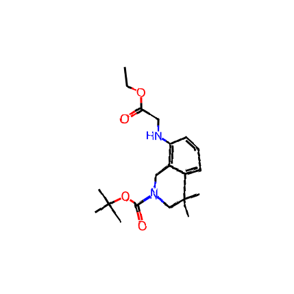 CCOC(=O)CNc1cccc2c1CN(C(=O)OC(C)(C)C)CC2(C)C